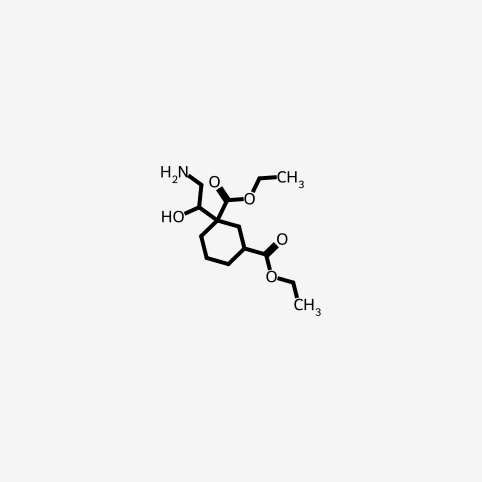 CCOC(=O)C1CCCC(C(=O)OCC)(C(O)CN)C1